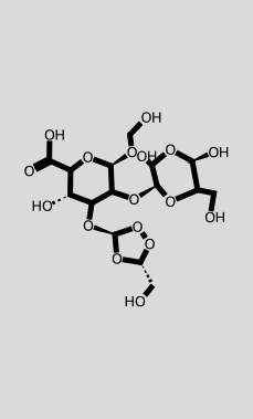 O=C(O)C1O[C@@H](OCO)C(O[C@@H]2OC(CO)[C@H](O)OC2O)C(O[C@H]2OO[C@H](CO)O2)[C@@H]1O